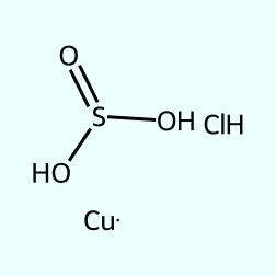 Cl.O=S(O)O.[Cu]